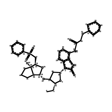 CC[C@H]1O[C@@H](n2c(=O)[nH]c3c(NC(=O)COc4ccccc4)ncnc32)CC1O[P@@]1O[C@H](CS(=O)(=O)c2ccccc2)[C@@H]2CCCN21